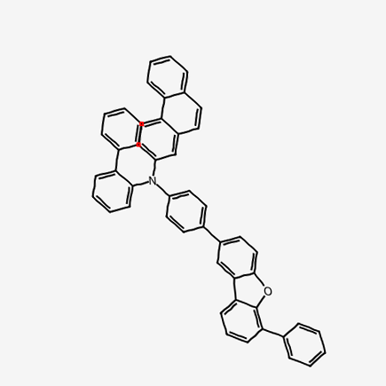 c1ccc(-c2ccccc2N(c2ccc(-c3ccc4oc5c(-c6ccccc6)cccc5c4c3)cc2)c2ccc3c(ccc4ccccc43)c2)cc1